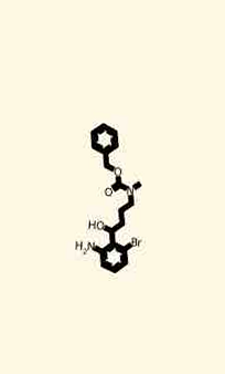 CN(CCCC(O)c1c(N)cccc1Br)C(=O)OCc1ccccc1